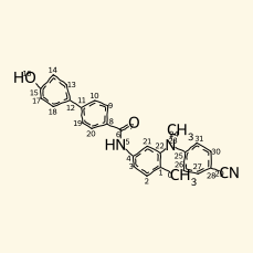 Cc1ccc(NC(=O)c2ccc(-c3ccc(O)cc3)cc2)cc1N(C)c1ccc(C#N)cc1